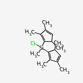 CC1=CC(C)C([Si](C)(Cl)C2=C(C)C(C)=CC2C)=C1C